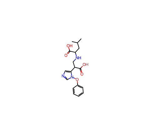 CC(C)CC(NCC(C(=O)O)c1cncn1Oc1ccccc1)C(=O)O